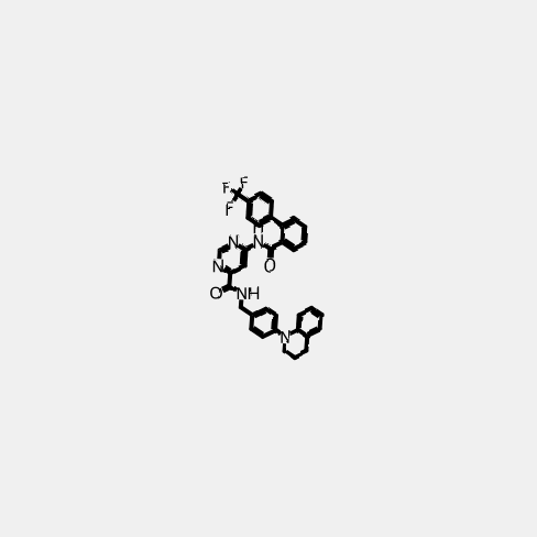 O=C(NCc1ccc(N2CCCc3ccccc32)cc1)c1cc(NC(=O)c2ccccc2-c2ccc(C(F)(F)F)cc2)ncn1